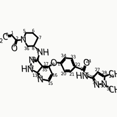 C=CC(=O)N1CCC[C@@H](Nc2n[nH]c3nccc(Oc4ccc(C(=O)Nc5cc(C)n(C)n5)cc4)c23)C1